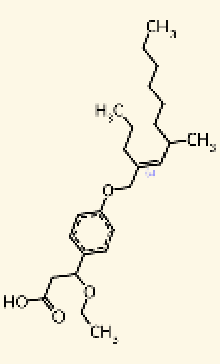 CCCCCCC(C)/C=C(\CCC)COc1ccc(C(CC(=O)O)OCC)cc1